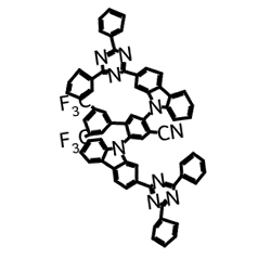 N#Cc1cc(-n2c3ccccc3c3ccc(-c4nc(-c5ccccc5)nc(-c5ccccc5)n4)cc32)c(-c2cc(C(F)(F)F)cc(C(F)(F)F)c2)cc1-n1c2ccccc2c2ccc(-c3nc(-c4ccccc4)nc(-c4ccccc4)n3)cc21